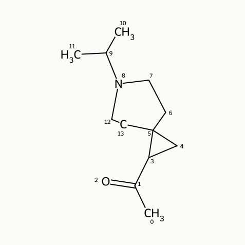 CC(=O)C1CC12CCN(C(C)C)CC2